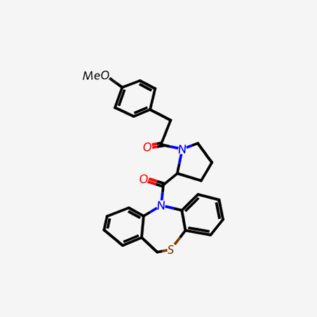 COc1ccc(CC(=O)N2CCCC2C(=O)N2c3ccccc3CSc3ccccc32)cc1